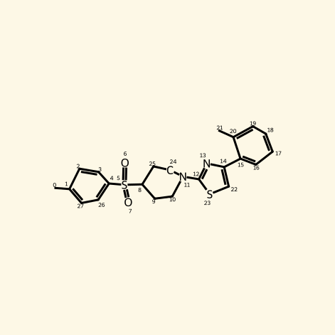 Cc1ccc(S(=O)(=O)C2CCN(c3nc(-c4ccccc4C)cs3)CC2)cc1